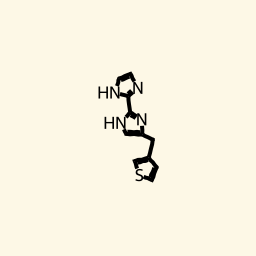 c1c[nH]c(-c2nc(Cc3ccsc3)c[nH]2)n1